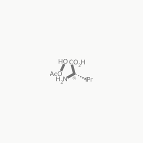 CC(=O)OO.CC(C)[C@H](N)C(=O)O